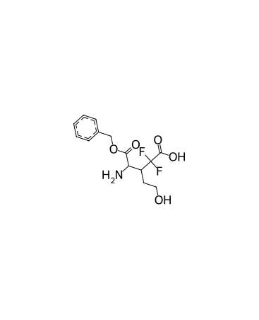 NC(C(=O)OCc1ccccc1)C(CCO)C(F)(F)C(=O)O